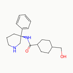 O=C(N[C@]1(c2ccccc2)CCCNC1)C1CCC(CO)CC1